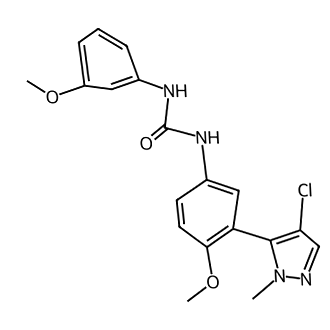 COc1cccc(NC(=O)Nc2ccc(OC)c(-c3c(Cl)cnn3C)c2)c1